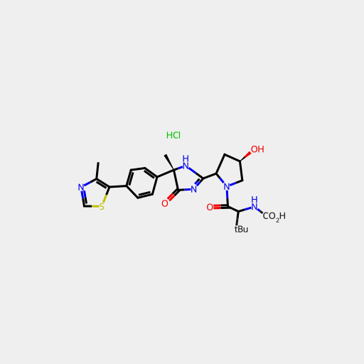 Cc1ncsc1-c1ccc([C@]2(C)NC(C3C[C@@H](O)CN3C(=O)C(NC(=O)O)C(C)(C)C)=NC2=O)cc1.Cl